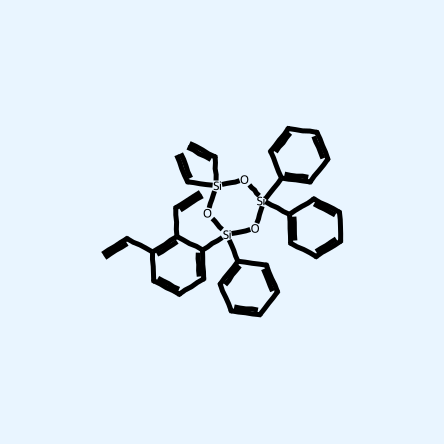 C=Cc1cccc([Si]2(c3ccccc3)O[Si](C=C)(C=C)O[Si](c3ccccc3)(c3ccccc3)O2)c1C=C